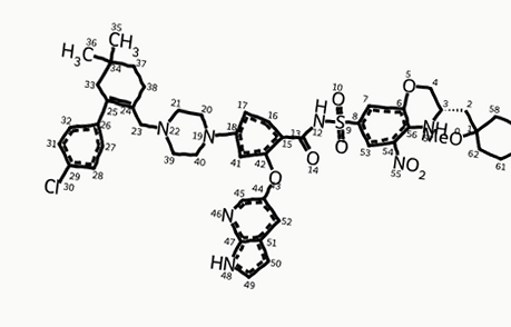 COC1(C[C@H]2COc3cc(S(=O)(=O)NC(=O)c4ccc(N5CCN(CC6=C(c7ccc(Cl)cc7)CC(C)(C)CC6)CC5)cc4Oc4cnc5[nH]ccc5c4)cc([N+](=O)[O-])c3N2)CCCCC1